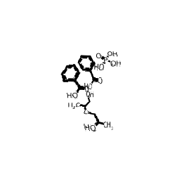 CC(O)COC(C)CO.O=C(O)c1ccccc1.O=C(O)c1ccccc1.O=P(O)(O)O